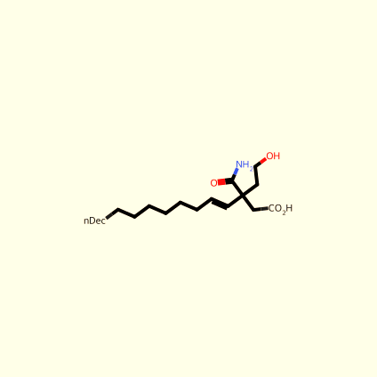 CCCCCCCCCCCCCCCCC=CC(CCO)(CC(=O)O)C(N)=O